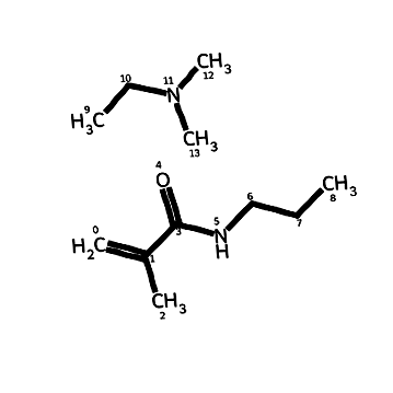 C=C(C)C(=O)NCCC.CCN(C)C